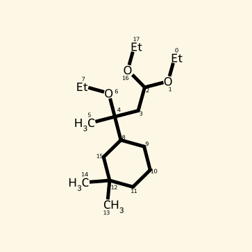 CCOC(CC(C)(OCC)C1CCCC(C)(C)C1)OCC